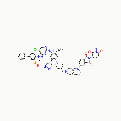 COc1cc(N2CCC(CN3CCC4(CCCN(c5ccc6c(c5)C(=O)N(C5CCC(=O)NC5=O)C6=O)C4)CC3)CC2)c(-c2cnn(C)c2)cc1Nc1ncc(Cl)c(Nc2ccc(-c3ccccc3)cc2P(C)(C)=O)n1